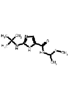 CSC(C)NC(=O)c1cnc(NC(C)(C)C)[nH]1